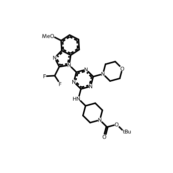 COc1cccc2c1nc(C(F)F)n2-c1nc(NC2CCN(C(=O)OC(C)(C)C)CC2)nc(N2CCOCC2)n1